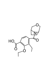 CCOc1c(C(=O)O)ccc(C(=O)N2C3CCC2COC3)c1CC